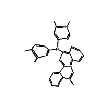 Cc1ccc(N(c2ccc(C)c(C)c2)c2cc3c4ccccc4c(C)cc3c3ccccc23)cc1C